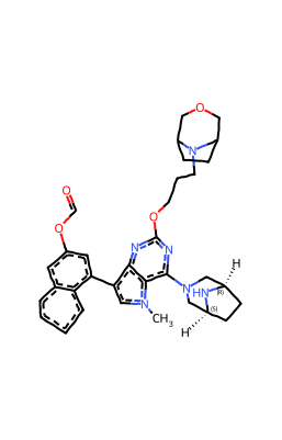 Cn1cc(-c2cc(OC=O)cc3ccccc23)c2nc(OCCCN3C4CCC3COC4)nc(N3C[C@H]4CC[C@@H](C3)N4)c21